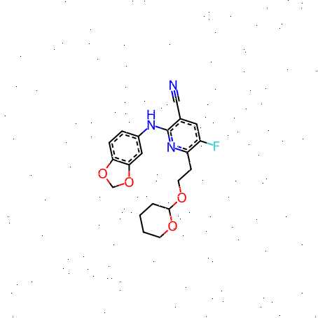 N#Cc1cc(F)c(CCOC2CCCCO2)nc1Nc1ccc2c(c1)OCO2